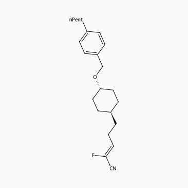 CCCCCc1ccc(CO[C@H]2CC[C@H](CCC=C(F)C#N)CC2)cc1